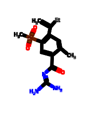 C=C(CC)c1cc(C)c(C(=O)N=C(N)N)cc1S(C)(=O)=O